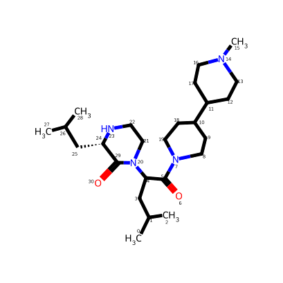 CC(C)CC(C(=O)N1CCC(C2CCN(C)CC2)CC1)N1CCN[C@@H](CC(C)C)C1=O